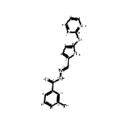 O=C(N/N=C/c1ccc(Sc2ncccn2)o1)c1cccc(F)c1